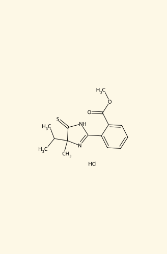 COC(=O)c1ccccc1C1=NC(C)(C(C)C)C(=S)N1.Cl